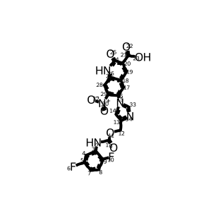 O=C(Nc1cc(F)ccc1F)OCc1cn(-c2cc3cc(C(=O)O)c(=O)[nH]c3cc2[N+](=O)[O-])cn1